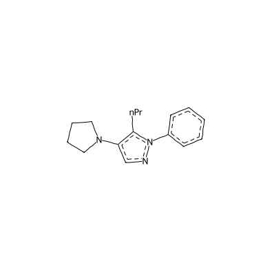 CCCc1c(N2CCCC2)cnn1-c1ccccc1